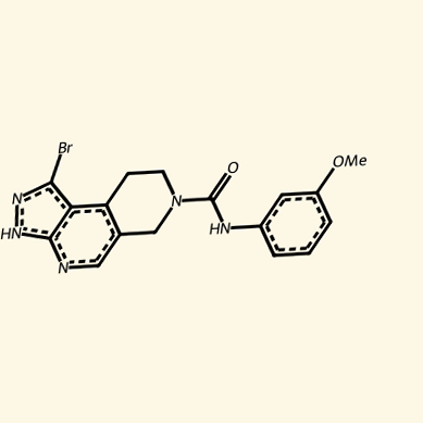 COc1cccc(NC(=O)N2CCc3c(cnc4[nH]nc(Br)c34)C2)c1